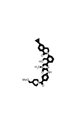 COCC1CCN(C(=O)c2ccc(Nc3nc(-c4cccc(N5CCc6cc(C7CC7)ccc6C5=O)c4CO)cn(C)c3=O)cc2)CC1